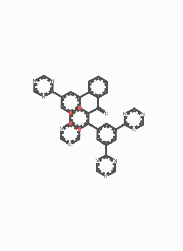 O=C(c1ccccc1-c1cc(-c2ncncn2)cc(-c2ncncn2)c1)c1ccccc1-c1cc(-c2ncncn2)cc(-c2ncncn2)c1